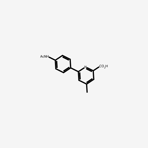 CC(=O)Nc1ccc(-c2cc(C)cc(C(=O)O)n2)cc1